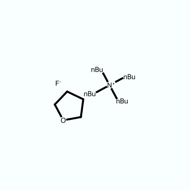 C1CCOC1.CCCC[N+](CCCC)(CCCC)CCCC.[F-]